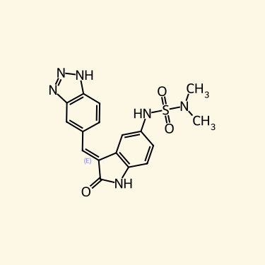 CN(C)S(=O)(=O)Nc1ccc2c(c1)/C(=C\c1ccc3[nH]nnc3c1)C(=O)N2